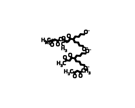 CC(=O)CC(=O)C(CCCC[O-])CCCC[O-].CC(=O)CC(=O)C(CCCC[O-])CCCC[O-].CC(=O)CC(C)=O.CC(=O)CC(C)=O.[Hf+4]